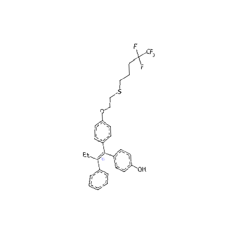 CC/C(=C(/c1ccc(O)cc1)c1ccc(OCCSCCCC(F)(F)C(F)(F)F)cc1)c1ccccc1